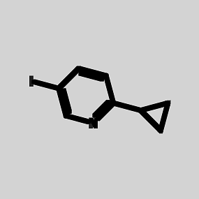 Ic1ccc(C2CC2)nc1